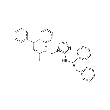 CC(=CC(c1ccccc1)c1ccccc1)[SiH2]Cn1ccnc1BC(=Cc1ccccc1)c1ccccc1